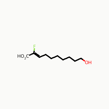 O=C(O)C(F)=CCCCCCCCO